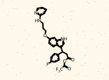 O=C(CC(c1ccc(F)cc1)c1c[nH]c2cc(OCCCNc3ccccn3)ccc12)OC(=O)C(F)(F)F